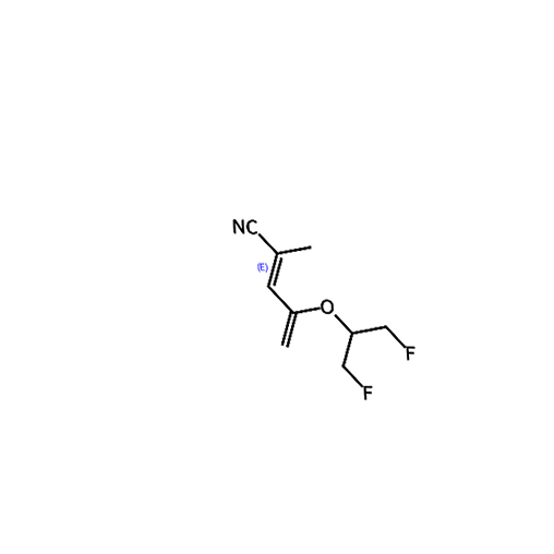 C=C(/C=C(\C)C#N)OC(CF)CF